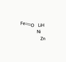 [LiH].[Ni].[O]=[Fe].[Zn]